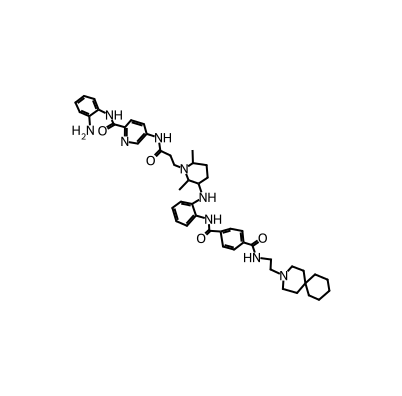 CC1CCC(Nc2ccccc2NC(=O)c2ccc(C(=O)NCCN3CCC4(CCCCC4)CC3)cc2)C(C)N1CCC(=O)Nc1ccc(C(=O)Nc2ccccc2N)nc1